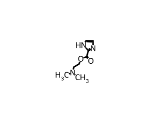 CN(C)CCOC(=O)c1ncc[nH]1